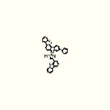 C1=CC2Sc3c(-c4c[nH]c(-n5c6cc(-c7ccccc7)ccc6c6c7sc8ccccc8c7ccc65)n4)cccc3C2C=C1